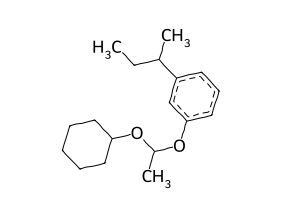 CCC(C)c1cccc(OC(C)OC2CCCCC2)c1